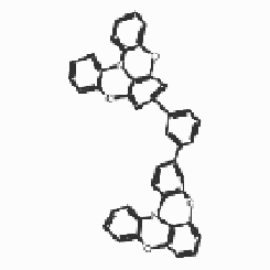 c1cc(-c2ccc3c(c2)Oc2cccc4c2N3c2ccccc2O4)cc(-c2cc3c4c(c2)Oc2ccccc2N4c2ccccc2O3)c1